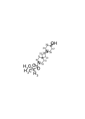 CC(C)(C)OC(=O)N1CCC2(CC1)CC(N1CCC(O)CC1)C2